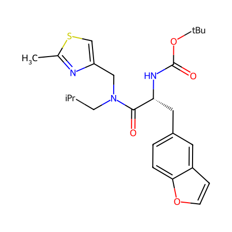 Cc1nc(CN(CC(C)C)C(=O)[C@@H](Cc2ccc3occc3c2)NC(=O)OC(C)(C)C)cs1